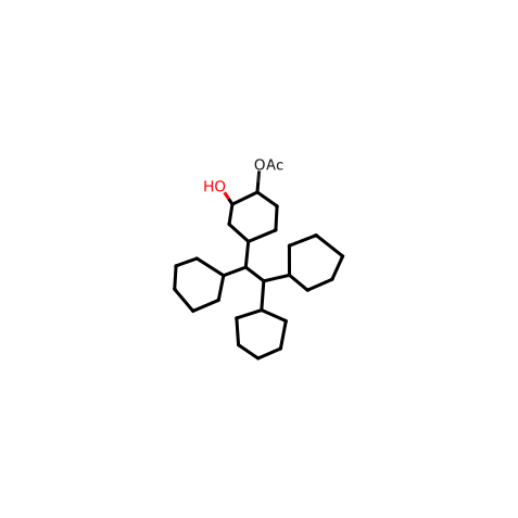 CC(=O)OC1CCC(C(C2CCCCC2)C(C2CCCCC2)C2CCCCC2)CC1O